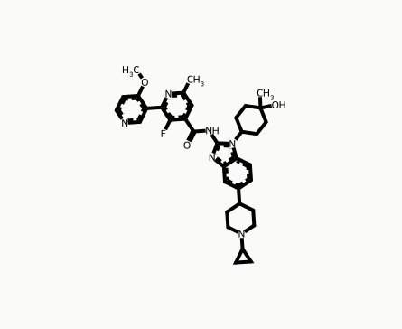 COc1ccncc1-c1nc(C)cc(C(=O)Nc2nc3cc(C4CCN(C5CC5)CC4)ccc3n2C2CCC(C)(O)CC2)c1F